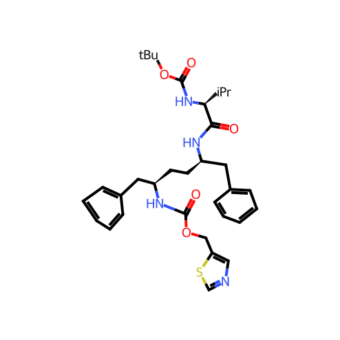 CC(C)[C@H](NC(=O)OC(C)(C)C)C(=O)N[C@H](CC[C@H](Cc1ccccc1)NC(=O)OCc1cncs1)Cc1ccccc1